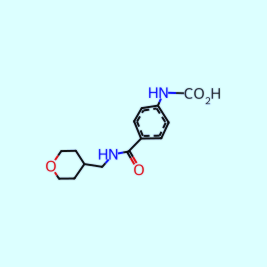 O=C(O)Nc1ccc(C(=O)NCC2CCOCC2)cc1